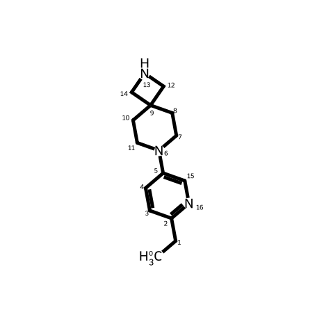 CCc1ccc(N2CCC3(CC2)CNC3)cn1